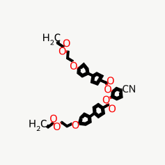 C=CC(=O)OCCCOc1ccc(-c2ccc(C(=O)Oc3ccc(C#N)cc3OC(=O)c3ccc(-c4ccc(OCCCOC(=O)C=C)cc4)cc3)cc2)cc1